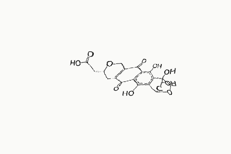 CC1OC2CC(O)C1(O)c1c(O)c3c(c(O)c12)C(=O)C1=C(CO[C@@H](CC(=O)O)C1)C3=O